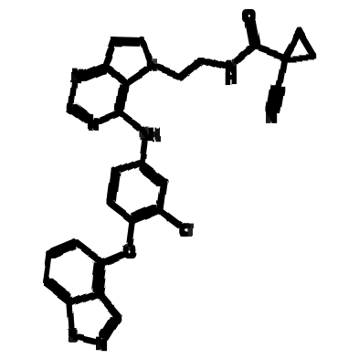 N#CC1(C(=O)NCCn2ccc3ncnc(Nc4ccc(Oc5cccc6sncc56)c(Cl)c4)c32)CC1